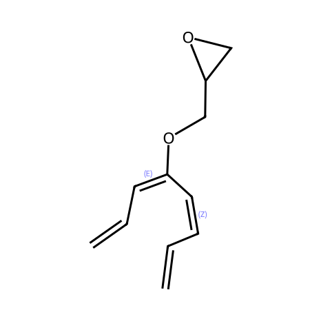 C=C/C=C\C(=C/C=C)OCC1CO1